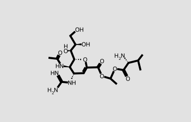 CC(=O)N[C@H]1[C@H]([C@H](O)[C@H](O)CO)OC(C(=O)OC(C)OC(=O)[C@H](N)C(C)C)=C[C@@H]1NC(=N)N